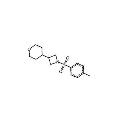 Cc1ccc(S(=O)(=O)N2CC(C3CCOCC3)C2)cc1